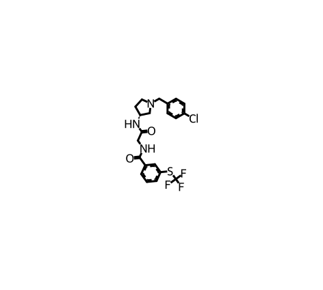 O=C(CNC(=O)c1cccc(SC(F)(F)F)c1)N[C@@H]1CCN(Cc2ccc(Cl)cc2)C1